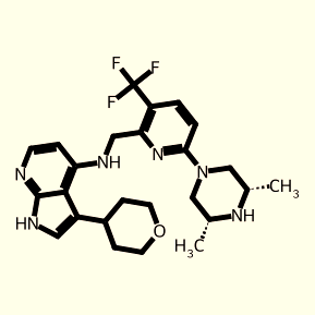 C[C@@H]1CN(c2ccc(C(F)(F)F)c(CNc3ccnc4[nH]cc(C5CCOCC5)c34)n2)C[C@H](C)N1